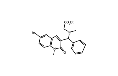 CCOC(=O)CN(C)C(c1ccccc1)c1cc2cc(Br)ccc2n(C)c1=O